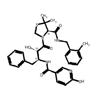 Cc1ccccc1CNC(=O)[C@H]1N(C(=O)[C@@H](O)[C@H](Cc2ccccc2)NC(=O)c2ccc(O)nc2)CSC1(C)C